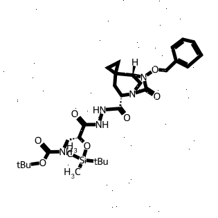 CC(C)(C)OC(=O)NC[C@@H](O[Si](C)(C)C(C)(C)C)C(=O)NNC(=O)[C@@H]1CC2(CC2)[C@H]2CN1C(=O)N2OCc1ccccc1